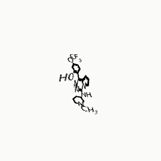 CN1CCC[C@@H](Nc2nnc(-c3ccc(OC(F)(F)F)cc3O)c3cccn23)C1